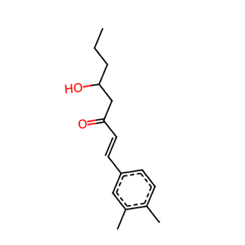 CCCC(O)CC(=O)/C=C/c1ccc(C)c(C)c1